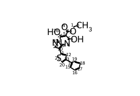 CCOC(=O)c1c(O)nc2c(-c3cc(-c4ccccc4)cs3)cnn2c1O